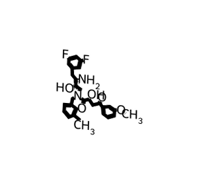 CCc1cccc(CN(C[C@@H](O)[C@@H](N)Cc2cc(F)cc(F)c2)C(=O)C(O)CC(=O)c2cccc(OC)c2)c1